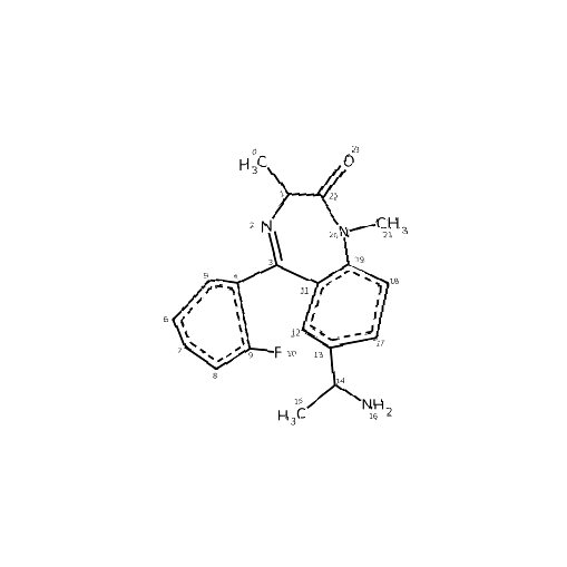 CC1N=C(c2ccccc2F)c2cc(C(C)N)ccc2N(C)C1=O